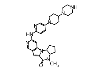 CN1C(=O)c2cc3cnc(Nc4ccc(N5CCC(N6CCNCC6)CC5)cn4)cc3n2C2CCCC21